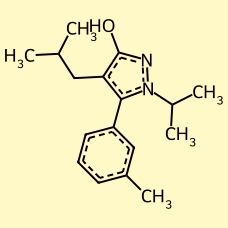 Cc1cccc(-c2c(CC(C)C)c(O)nn2C(C)C)c1